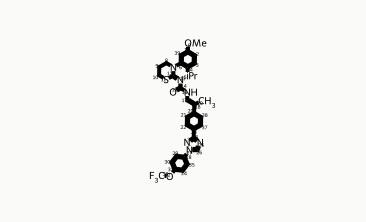 COc1ccc(C(C)C)c(N2CCCS/C2=N\C(=O)N/C=C(\C)c2ccc(-c3ncn(-c4ccc(OC(F)(F)F)cc4)n3)cc2)c1